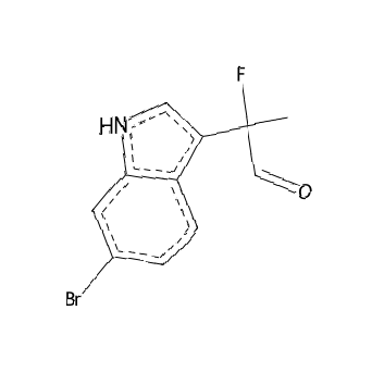 CC(F)(C=O)c1c[nH]c2cc(Br)ccc12